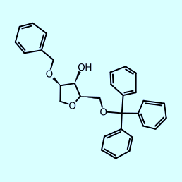 O[C@@H]1[C@H](OCc2ccccc2)CO[C@@H]1COC(c1ccccc1)(c1ccccc1)c1ccccc1